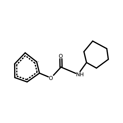 O=C(NC1CCCCC1)Oc1[c]cccc1